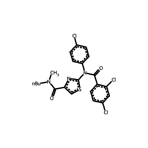 CCCCN(C)C(=O)c1csc(N(C(=O)c2ccc(Cl)cc2Cl)c2ccc(Cl)cc2)n1